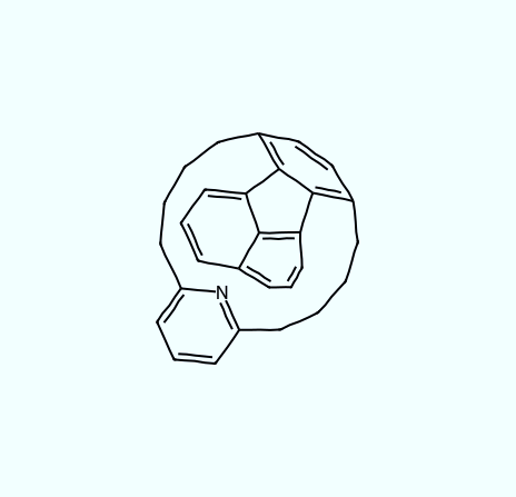 c1cc2nc(c1)CCCCc1ccc(c3c1-c1cccc4cccc-3c14)CCCC2